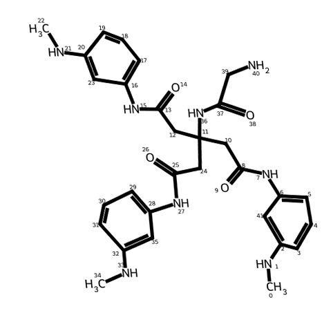 CNc1cccc(NC(=O)CC(CC(=O)Nc2cccc(NC)c2)(CC(=O)Nc2cccc(NC)c2)NC(=O)CN)c1